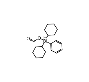 O=P[O][BiH]([c]1ccccc1)([CH]1CCCCC1)[CH]1CCCCC1